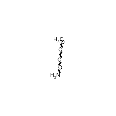 COCCOCCCOCCOCCN